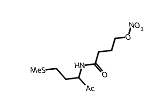 CSCCC(NC(=O)CCCO[N+](=O)[O-])C(C)=O